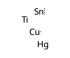 [Cu].[Hg].[Sn].[Ti]